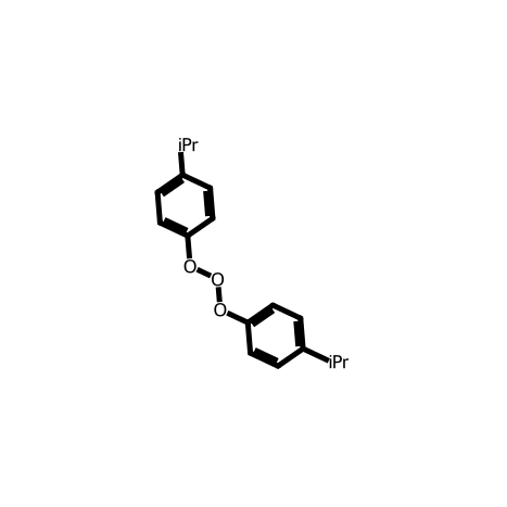 CC(C)c1ccc(OOOc2ccc(C(C)C)cc2)cc1